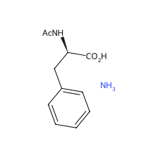 CC(=O)N[C@H](Cc1ccccc1)C(=O)O.N